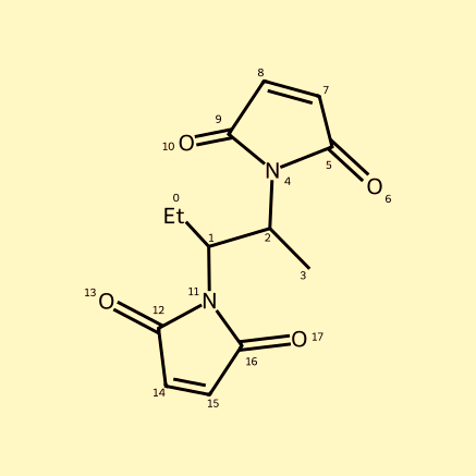 CCC(C(C)N1C(=O)C=CC1=O)N1C(=O)C=CC1=O